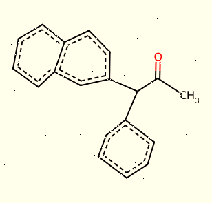 CC(=O)C(c1ccccc1)c1ccc2ccccc2c1